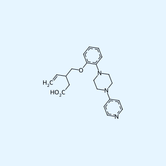 C=CC(COc1ccccc1N1CCN(c2ccncc2)CC1)CC(=O)O